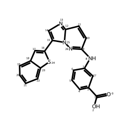 O=C(O)c1cccc(Nc2ccc3ncc(-c4cc5ccccc5s4)n3n2)c1